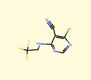 N#Cc1c(Cl)ncnc1NCC(F)(F)F